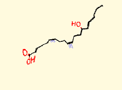 CCCCCC(O)CC/C=C\CC/C=C\CCCC(=O)O